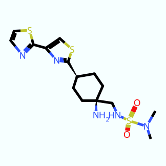 CN(C)S(=O)(=O)NC[C@]1(N)CC[C@@H](c2nc(-c3nccs3)cs2)CC1